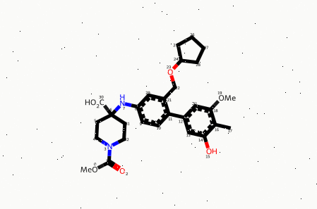 COC(=O)N1CCC(Nc2ccc(-c3cc(O)c(C)c(OC)c3)c(COC3CCCC3)c2)(C(=O)O)CC1